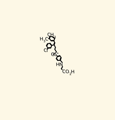 Cc1ccc(C=C(CCC[S+]([O-])c2ccc(CNCCC(=O)O)cc2)c2cccc(Cl)c2)cc1C